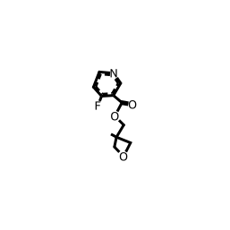 CC1(COC(=O)c2cnccc2F)COC1